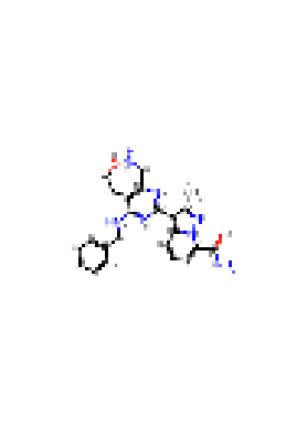 Cc1nn2c(C(N)=O)cccc2c1-c1nc2c(c(NCc3ccccc3)n1)CCONC2